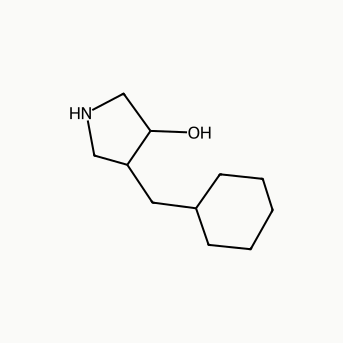 OC1CNCC1CC1CCCCC1